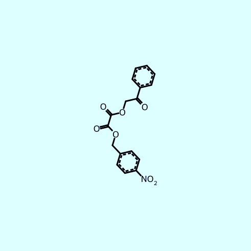 O=C(OCC(=O)c1ccccc1)C(=O)OCc1ccc([N+](=O)[O-])cc1